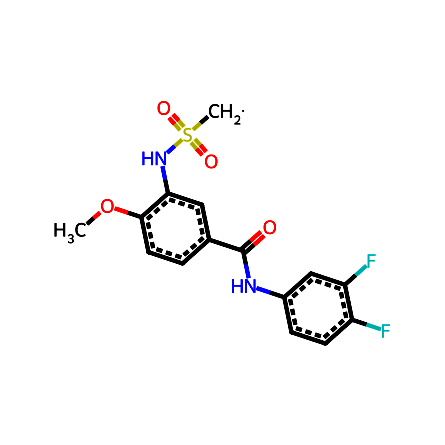 [CH2]S(=O)(=O)Nc1cc(C(=O)Nc2ccc(F)c(F)c2)ccc1OC